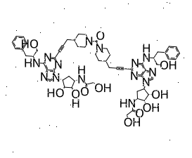 O=C(CO)N[C@H]1C[C@@H](n2cnc3c(N[C@H](CO)Cc4ccccc4)nc(C#CCC4CCN(C(=O)N5CCC(CC#Cc6nc(N[C@H](CO)Cc7ccccc7)c7ncn([C@@H]8C[C@H](NC(=O)CO)[C@@H](O)[C@H]8O)c7n6)CC5)CC4)nc32)[C@H](O)[C@@H]1O